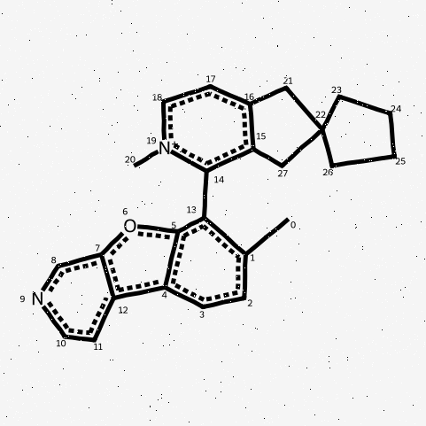 Cc1ccc2c(oc3cnccc32)c1-c1c2c(cc[n+]1C)CC1(CCCC1)C2